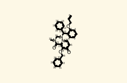 C=CCOc1ccccc1C(c1ccccc1)N1CN(C)C(=O)c2c(OCc3ccccc3)c(=O)ccn21